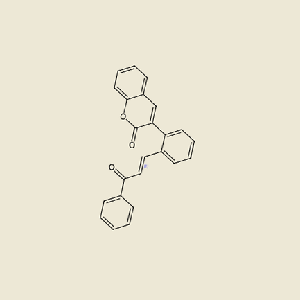 O=C(/C=C/c1ccccc1-c1cc2ccccc2oc1=O)c1ccccc1